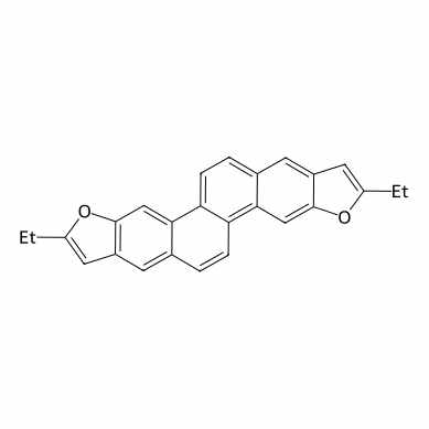 CCc1cc2cc3ccc4c5cc6oc(CC)cc6cc5ccc4c3cc2o1